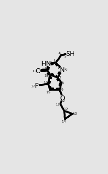 O=c1[nH]c(CS)nc2cc(OCC3CC3)cc(F)c12